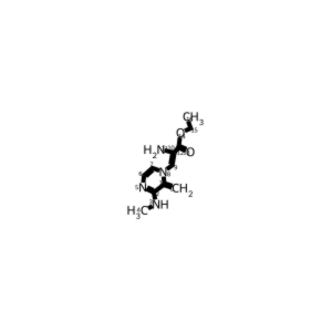 C=C1C(NC)=NC=CN1/C=C(\N)C(=O)OCC